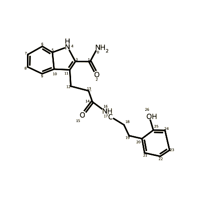 NC(=O)c1[nH]c2ccccc2c1C[CH]C(=O)NCCCc1ccccc1O